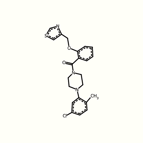 Cc1ccc(Cl)cc1N1CCN(C(=O)c2ccccc2OCc2cscn2)CC1